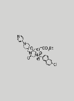 CCOC(=O)COCC12CN(S(=O)(=O)c3ccc4cc(Cl)ccc4c3)CC(=O)N1CC1(CCN(c3ccncc3)CC1)O2